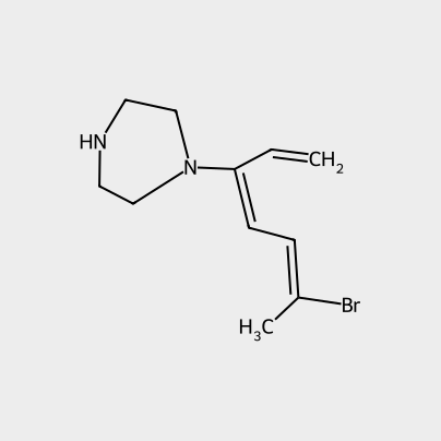 C=C/C(=C\C=C(/C)Br)N1CCNCC1